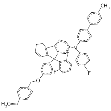 C=Cc1ccc(COc2ccc(C3(c4c(F)cccc4F)C4=C(CCC=C4)c4ccc(N(c5ccc(F)cc5)c5ccc(-c6ccc(C)cc6)cc5)cc43)cc2)cc1